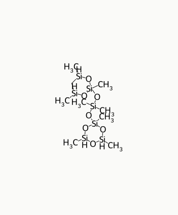 C[SiH]1C[SiH](C)O[Si](C)(O[Si](C)(C)O[Si]2(C)O[SiH](C)O[SiH](C)O2)O1